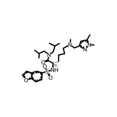 Cc1cc(CN(C)CCCC[C@H](NS(=O)(=O)c2ccc3occc3c2)C(=O)N(CC(C)C)CC(C)C)nn1C